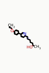 C=CCOc1ccc(-c2ccc(/C=C/CCCC(C)O)nc2)cc1